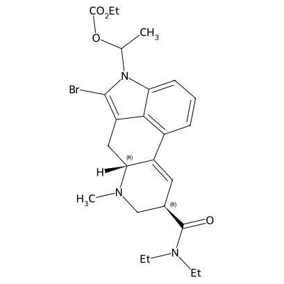 CCOC(=O)OC(C)n1c(Br)c2c3c(cccc31)C1=C[C@@H](C(=O)N(CC)CC)CN(C)[C@@H]1C2